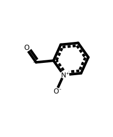 O=[C]c1cccc[n+]1[O-]